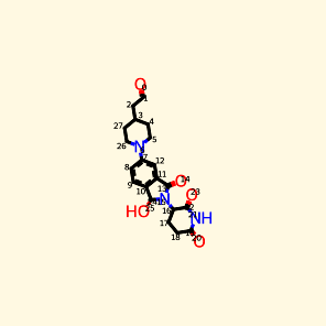 O=CCC1CCN(c2ccc3c(c2)C(=O)N(C2CCC(=O)NC2=O)C3O)CC1